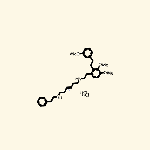 COc1cccc(CCc2c(CCNCC/C=C/CCNCCc3ccccc3)ccc(OC)c2OC)c1.Cl.Cl